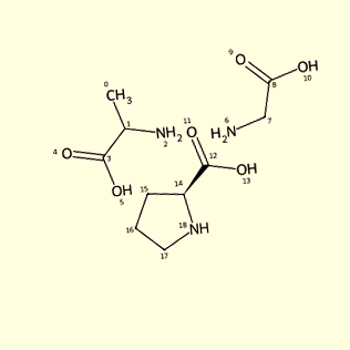 CC(N)C(=O)O.NCC(=O)O.O=C(O)[C@@H]1CCCN1